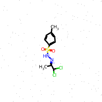 C/C(=N\NS(=O)(=O)c1ccc(C)cc1)C(Cl)Cl